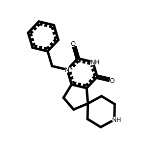 O=c1[nH]c(=O)n(Cc2ccccc2)c2c1C1(CCNCC1)CC2